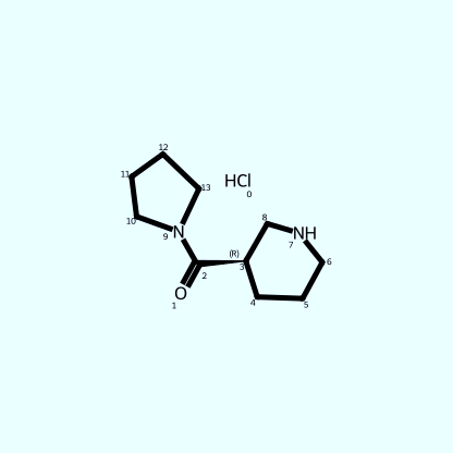 Cl.O=C([C@@H]1CCCNC1)N1CCCC1